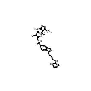 Cc1noc(C)c1S(=O)(=O)NC(CNC(=O)c1ccc2c(cnn2CCCNC2NCCN2)c1)C(=O)O